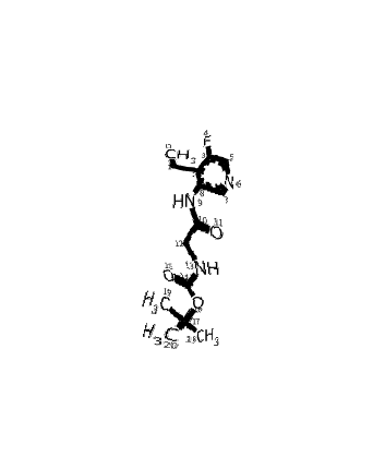 CCc1c(F)cncc1NC(=O)CNC(=O)OC(C)(C)C